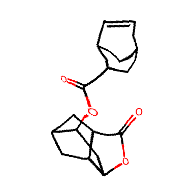 O=C(OC1C2CC3C(=O)OC1C3C2)C1CC2C=CC1C2